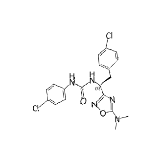 CN(C)c1nc([C@H](Cc2ccc(Cl)cc2)NC(=O)Nc2ccc(Cl)cc2)no1